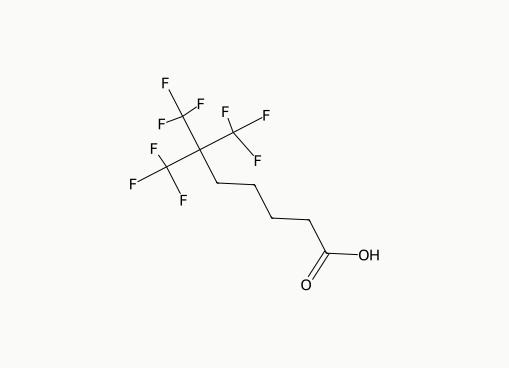 O=C(O)CCCCC(C(F)(F)F)(C(F)(F)F)C(F)(F)F